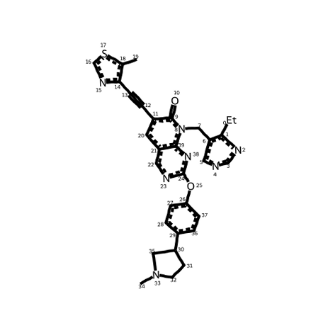 CCc1ncncc1Cn1c(=O)c(C#Cc2ncsc2C)cc2cnc(Oc3ccc(C4CCN(C)C4)cc3)nc21